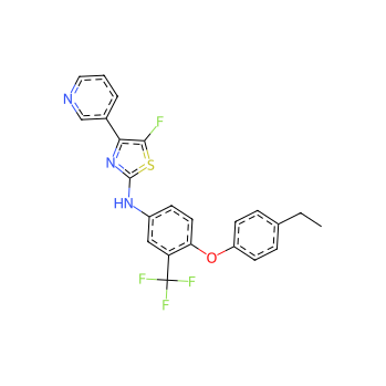 CCc1ccc(Oc2ccc(Nc3nc(-c4cccnc4)c(F)s3)cc2C(F)(F)F)cc1